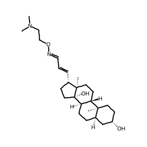 CN(C)CCON=C/C=C/[C@H]1CC[C@]2(O)[C@@H]3CC[C@@H]4C[C@@H](O)CC[C@]4(C)[C@H]3CC[C@]12C